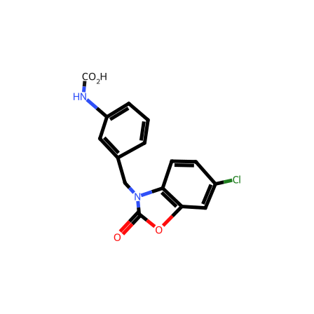 O=C(O)Nc1cccc(Cn2c(=O)oc3cc(Cl)ccc32)c1